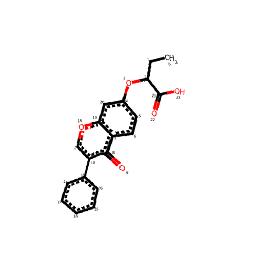 CCC(Oc1ccc2c(=O)c(-c3ccccc3)coc2c1)C(=O)O